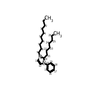 CCCCCCCCCCN1C=CN(c2ccccc2)C1CCCCCCC